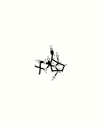 CC(C)(C)OC(=O)N1[C@@H]2CC[C@H]1C(C#N)C(=C=O)C2